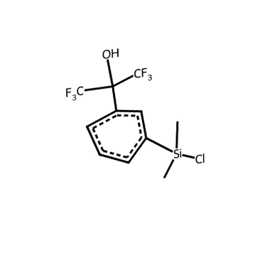 C[Si](C)(Cl)c1cccc(C(O)(C(F)(F)F)C(F)(F)F)c1